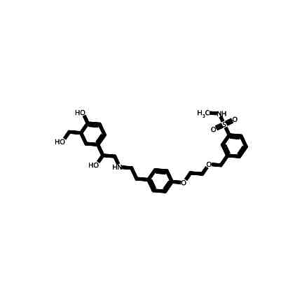 CNS(=O)(=O)c1cccc(COCCOc2ccc(CCNCC(O)C3=CC=C(O)C(CO)C3)cc2)c1